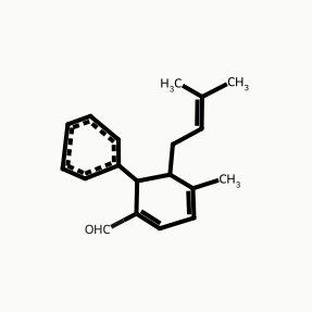 CC(C)=CCC1C(C)=CC=C(C=O)C1c1ccccc1